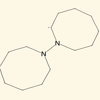 [CH]1CCCCCCN1N1CCCCCCC1